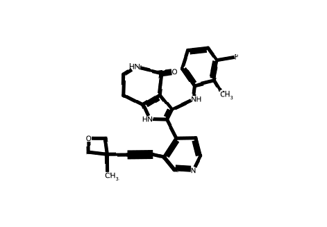 Cc1c(F)cccc1Nc1c(-c2ccncc2C#CC2(C)COC2)[nH]c2c1C(=O)NCC2